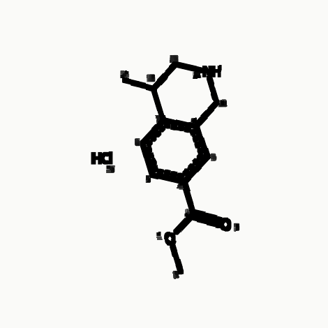 COC(=O)c1ccc2c(c1)CNCC2C.Cl